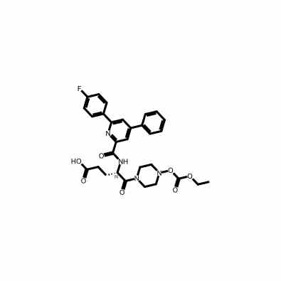 CCOC(=O)ON1CCN(C(=O)[C@H](CCC(=O)O)NC(=O)c2cc(-c3ccccc3)cc(-c3ccc(F)cc3)n2)CC1